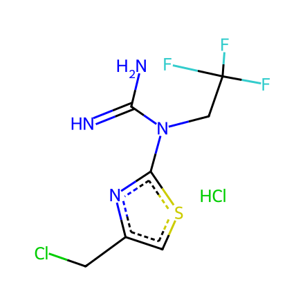 Cl.N=C(N)N(CC(F)(F)F)c1nc(CCl)cs1